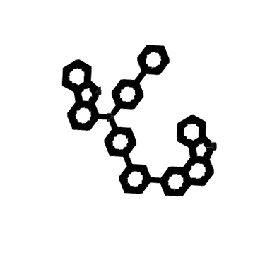 c1ccc(-c2ccc(N(c3ccc(-c4cccc(-c5ccc6ccc7oc8ccccc8c7c6c5)c4)cc3)c3cccc4c3sc3ccccc34)cc2)cc1